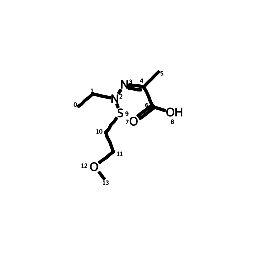 CCN(N=C(C)C(=O)O)SCCOC